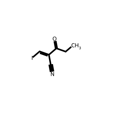 CCC(=O)/C(C#N)=C/I